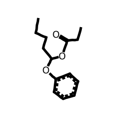 CCCCC(OC(=O)CC)Oc1ccccc1